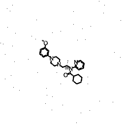 COc1cccc(N2CCN(C[C@H](C)N(C(=O)C3CCCCC3)c3ccccn3)CC2)c1